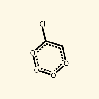 Clc1coooo1